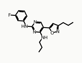 CCCNc1nc(Nc2cccc(F)c2)ncc1-c1cc(CCC)no1